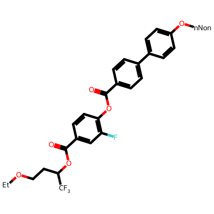 CCCCCCCCCOc1ccc(-c2ccc(C(=O)Oc3ccc(C(=O)OC(CCOCC)C(F)(F)F)cc3F)cc2)cc1